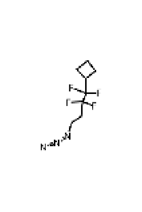 [N-]=[N+]=NCCC(F)(F)C(F)(F)C1CCC1